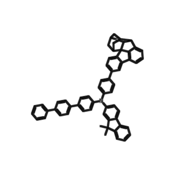 CC1(C)c2ccccc2-c2ccc(N(c3ccc(-c4ccc(-c5ccccc5)cc4)cc3)c3ccc(-c4ccc5c(c4)-c4cccc6c4C54C5CC7CC(C5)C6C4C7)cc3)cc21